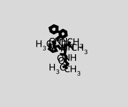 CNC(C)C(=O)N(CCC1(C(=O)NCc2ccccc2-c2ccccc2)CCCN1C)CC(C=O)NC(=O)CC(C)C